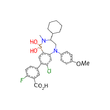 COc1ccc(N2CC(C3CCCCC3)N(C)S(O)(O)c3cc(-c4ccc(F)c(C(=O)O)c4)c(Cl)cc32)cc1